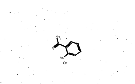 NC(=O)c1ccccc1O.[Cu]